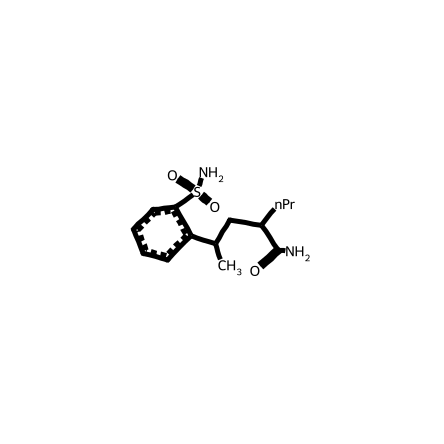 CCCC(CC(C)c1ccccc1S(N)(=O)=O)C(N)=O